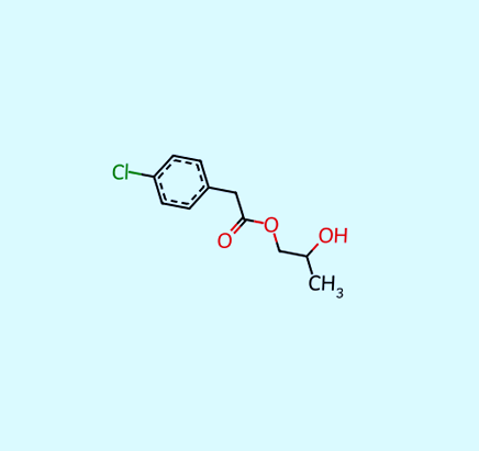 CC(O)COC(=O)Cc1ccc(Cl)cc1